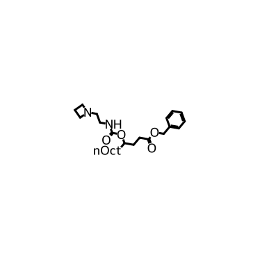 CCCCCCCCC(CCC(=O)OCc1ccccc1)OC(=O)NCCN1CCC1